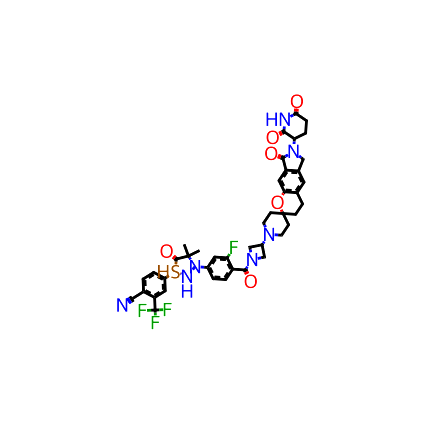 CC1(C)C(=O)[SH](c2ccc(C#N)c(C(F)(F)F)c2)NN1c1ccc(C(=O)N2CC(N3CCC4(CCc5cc6c(cc5O4)C(=O)N(C4CCC(=O)NC4=O)C6)CC3)C2)c(F)c1